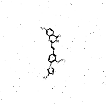 Bc1ccc2c(=O)[nH]c(/C=C/c3ccc(-n4cnc(C)c4)c(OC)c3)nc2c1